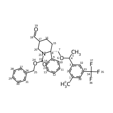 Cc1cc(C(C)OC[C@@]2(c3ccccc3)CCC(C=O)CN2C(=O)OCc2ccccc2)cc(C(F)(F)F)c1